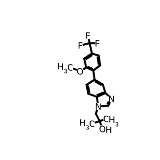 COc1cc(C(F)(F)F)ccc1-c1ccc2c(c1)ncn2CC(C)(C)O